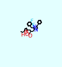 CCc1ccc(CC(Cc2ncc(-c3ccccc3)nc2Cc2cccc(F)c2F)C(=O)O)o1